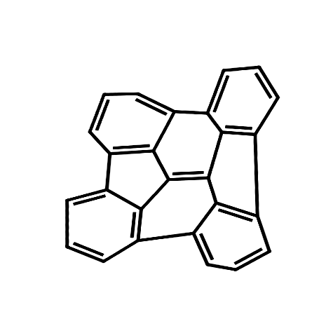 c1cc2c3cccc4c5cccc6c7cccc8c(c1)c2c(c34)c(c78)c65